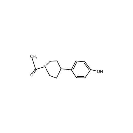 CC(=O)N1CCC(c2ccc(O)cc2)CC1